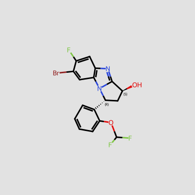 O[C@H]1C[C@H](c2ccccc2OC(F)F)n2c1nc1cc(F)c(Br)cc12